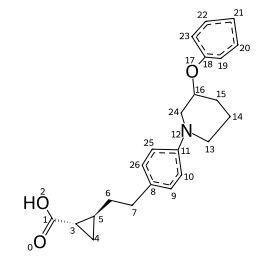 O=C(O)[C@H]1C[C@@H]1CCc1ccc(N2CCCC(Oc3ccccc3)C2)cc1